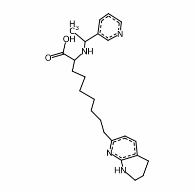 CC(NC(CCCCCCCc1ccc2c(n1)NCCC2)C(=O)O)c1cccnc1